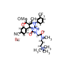 COC(=O)C1=C(C)N(c2cccc(C(F)(F)F)c2)c2nn(CC(=O)N(C)CCC[N+](C)(C)C)c(=O)n2C1c1ccc(C#N)cc1.[Br-]